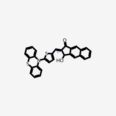 O=C1/C(=C/c2ccc(N3c4ccccc4Sc4ccccc43)s2)C(O)c2cc3ccccc3cc21